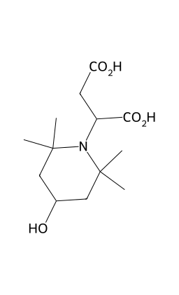 CC1(C)CC(O)CC(C)(C)N1C(CC(=O)O)C(=O)O